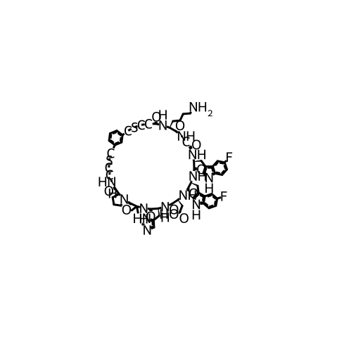 CC1(C)NC(=O)[C@H](Cc2cnc[nH]2)NC(=O)[C@H](CC(=O)O)NC(=O)[C@H](Cc2c[nH]c3ccc(F)cc23)NC(=O)[C@H](Cc2c[nH]c3ccc(F)cc23)NC(=O)CNC(=O)[C@H](CCCCN)NC(=O)CCSCc2cccc(c2)CSCCNC(=O)[C@@H]2CCCN2C1=O